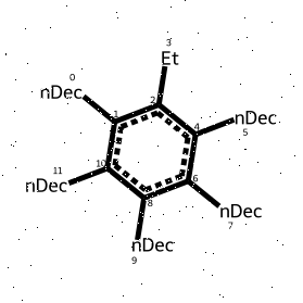 CCCCCCCCCCc1c(CC)c(CCCCCCCCCC)c(CCCCCCCCCC)c(CCCCCCCCCC)c1CCCCCCCCCC